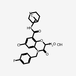 CC1Oc2c(C(=O)NC3CN4CCC3CC4)cc(Cl)cc2N(Cc2ccc(F)cc2)C1=O.Cl.O